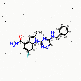 Cc1cc2c(C(N)=O)cc(F)cc2n1-c1nncc(NCc2ccccc2)n1